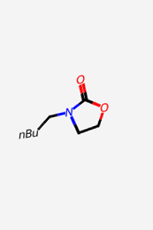 CCCCCN1CCOC1=O